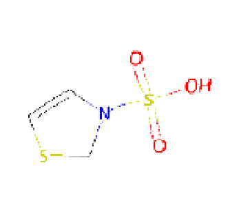 O=S(=O)(O)N1C=CSC1